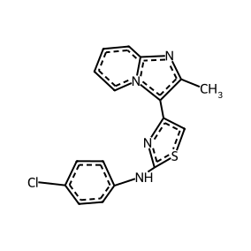 Cc1nc2ccccn2c1-c1csc(Nc2ccc(Cl)cc2)n1